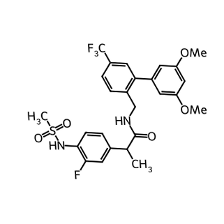 COc1cc(OC)cc(-c2cc(C(F)(F)F)ccc2CNC(=O)C(C)c2ccc(NS(C)(=O)=O)c(F)c2)c1